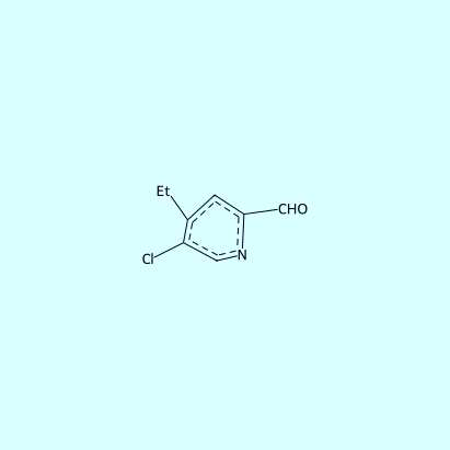 CCc1cc(C=O)ncc1Cl